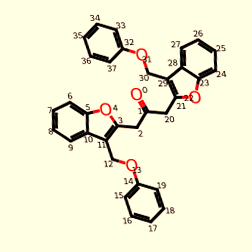 O=C(Cc1oc2ccccc2c1COc1ccccc1)Cc1oc2ccccc2c1COc1ccccc1